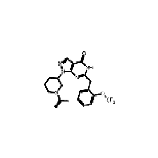 C=C(C)N1CCCC(n2ncc3c(=O)[nH]c(Cc4ccccc4OC(F)(F)F)nc32)C1